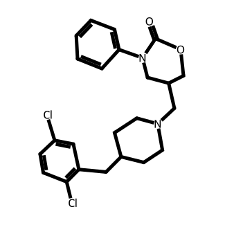 O=C1OCC(CN2CCC(Cc3cc(Cl)ccc3Cl)CC2)CN1c1ccccc1